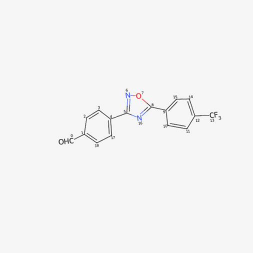 O=Cc1ccc(-c2noc(-c3ccc(C(F)(F)F)cc3)n2)cc1